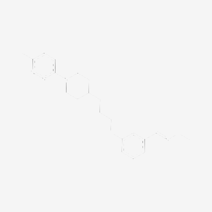 CON=Cc1cccc(OCCCC2CCN(c3ccc(C)nn3)CC2)c1